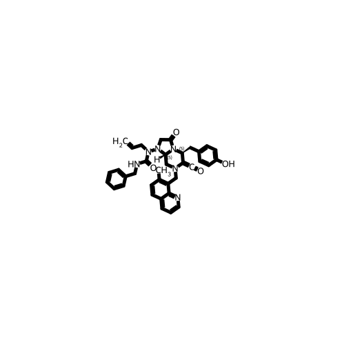 C=CCN(C(=O)NCc1ccccc1)N1CC(=O)N2[C@@H](Cc3ccc(O)cc3)C(=C=O)N(Cc3c(C)ccc4cccnc34)C[C@@H]21